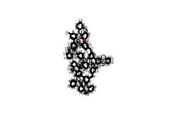 Cc1cc2c3c(c1)N1c4ccccc4Sc4cccc(c41)B3N(c1ccc(Cc3cc4c5c(c3)N3c6ccccc6Oc6cccc(c63)B5N(c3ccc(Cc5cc6c7c(c5)N5c8ccccc8[Si](C)(C)c8cccc(c85)B7N(c5ccccc5)c5cc7c(cc5-6)C(C)(C)c5ccccc5C7(C)C)cc3C)c3cc5c(cc3-4)Oc3ccccc3S5)cc1C)c1cc3c(cc1-2)Sc1ccccc1O3